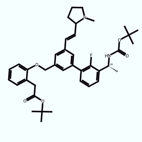 C[C@@H](NC(=O)OC(C)(C)C)c1cccc(-c2cc(C=CC3CCCN3C)cc(COc3ccccc3CC(=O)OC(C)(C)C)c2)c1F